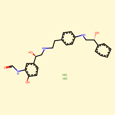 Cl.Cl.O=CNc1cc([C@@H](O)CNCCc2ccc(NC[C@H](O)c3ccccc3)cc2)ccc1O